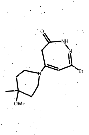 CCC1=NNC(=O)CC(N2CCC(C)(OC)CC2)=C1